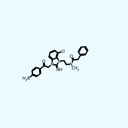 Bc1ccc(C(=O)Cn2c(=N)n(CCN(C)C(=O)Cc3ccccc3)c3c(Cl)cccc32)cc1